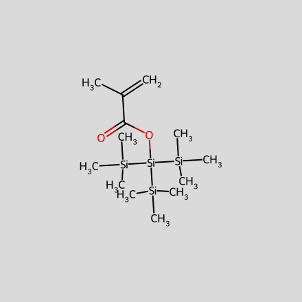 C=C(C)C(=O)O[Si]([Si](C)(C)C)([Si](C)(C)C)[Si](C)(C)C